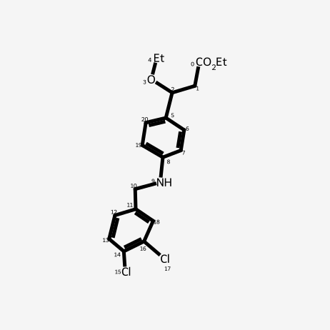 CCOC(=O)CC(OCC)c1ccc(NCc2ccc(Cl)c(Cl)c2)cc1